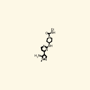 CCNC(=O)N1CCC(Nc2nccc(-c3cnn(C)c3N)n2)CC1